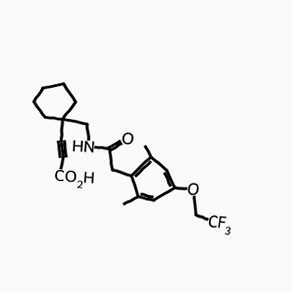 Cc1cc(OCC(F)(F)F)cc(C)c1CC(=O)NCC1(C#CC(=O)O)CCCCC1